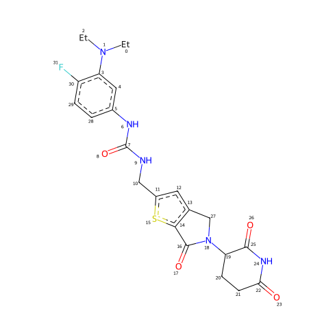 CCN(CC)c1cc(NC(=O)NCc2cc3c(s2)C(=O)N(C2CCC(=O)NC2=O)C3)ccc1F